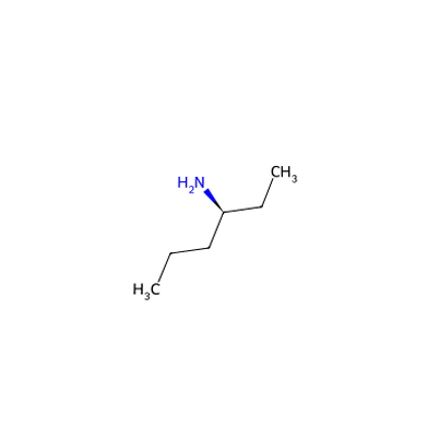 CCC[C@@H](N)CC